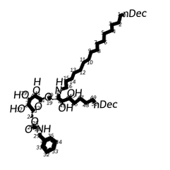 CCCCCCCCCCCCCCCCCCCCCCCCCCN[C@@H](CO[C@H]1O[C@H](COC(=O)NCc2ccccc2)[C@H](O)[C@H](O)[C@H]1O)[C@H](O)[C@H](O)CCCCCCCCCCCCCC